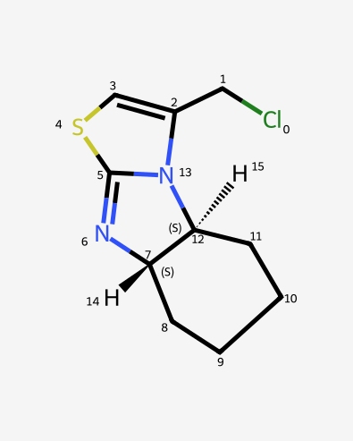 ClCC1=CSC2=N[C@H]3CCCC[C@@H]3N12